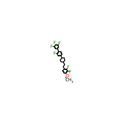 CCOc1ccc(CCC2CCC(c3ccc(-c4cc(F)c(F)c(F)c4)c(F)c3)CC2)c(F)c1F